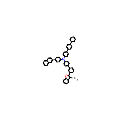 Cc1c(-c2cccc(-c3ccc(N(c4ccc(-c5ccc(-c6ccccc6)cc5)cc4)c4ccc(-c5ccc6ccccc6c5)cc4)cc3)c2)oc2ccccc12